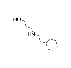 OCCCNCCC1CCCCC1